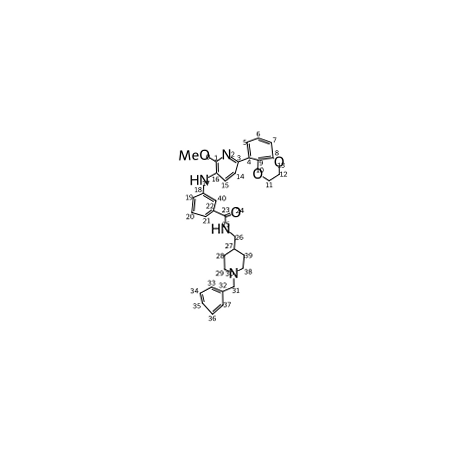 COc1nc(-c2cccc3c2OCCO3)ccc1Nc1cccc(C(=O)NCC2CCN(Cc3ccccc3)CC2)c1